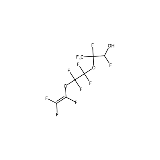 OC(F)C(F)(OC(F)(F)C(F)(F)OC(F)=C(F)F)C(F)(F)F